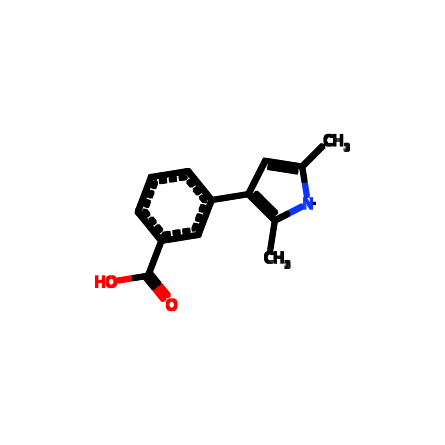 CC1=CC(c2cccc(C(=O)O)c2)=C(C)[N]1